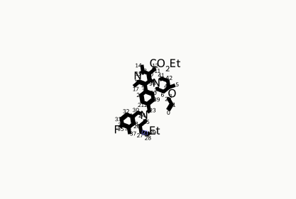 C=CCOC1(C)CCN(c2c(CC(=O)OCC)c(C)nc(C)c2-c2ccc(CN(CC/C=C\CC)Cc3ccc(F)c(C)c3)cc2)CC1